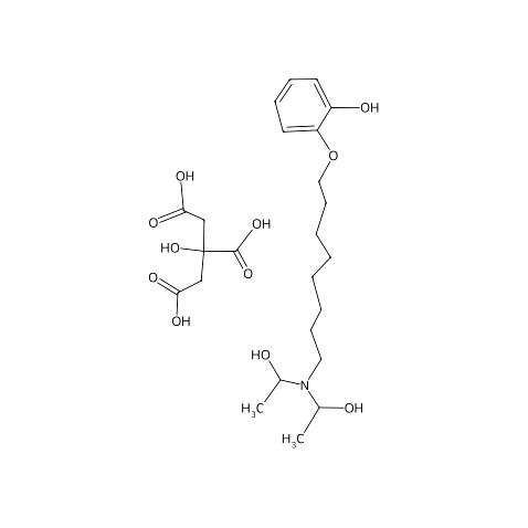 CC(O)N(CCCCCCCCOc1ccccc1O)C(C)O.O=C(O)CC(O)(CC(=O)O)C(=O)O